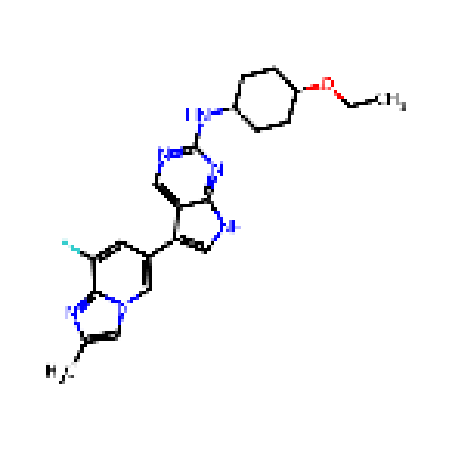 CCO[C@H]1CC[C@@H](Nc2ncc3c(-c4cc(F)c5nc(C)cn5c4)c[nH]c3n2)CC1